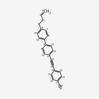 C=CCCc1ccc(-c2ccc(C#Cc3ccc(Br)cc3)cc2)cc1